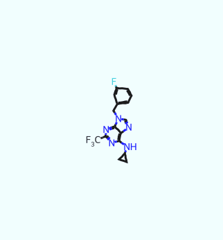 Fc1cccc(Cn2cnc3c(NC4CC4)nc(C(F)(F)F)nc32)c1